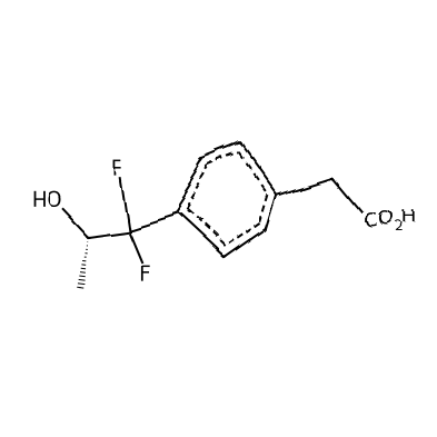 C[C@H](O)C(F)(F)c1ccc(CC(=O)O)cc1